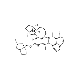 C=Cc1c(F)ccc2cccc(-c3nc4c5c(nc(OC[C@@]67CCCN6C[C@H](F)C7)nc5c3F)N3C[C@H]5CC[C@H](N5)[C@H]3CCO4)c12